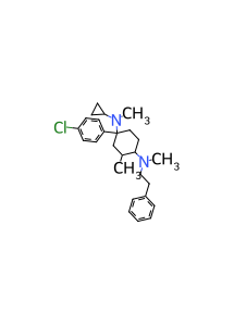 CC1CC(c2ccc(Cl)cc2)(N(C)C2CC2)CCC1N(C)CCc1ccccc1